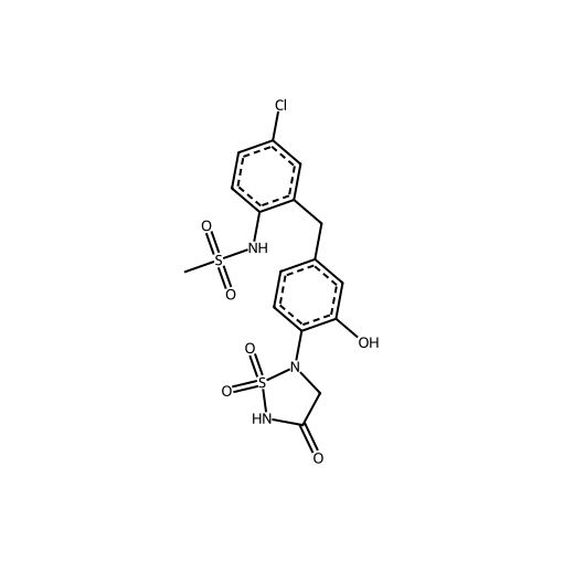 CS(=O)(=O)Nc1ccc(Cl)cc1Cc1ccc(N2CC(=O)NS2(=O)=O)c(O)c1